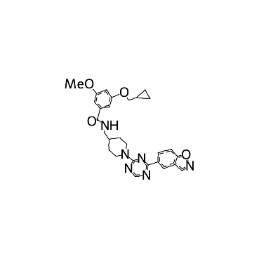 COc1cc(OCC2CC2)cc(C(=O)NCC2CCN(c3ncnc(-c4ccc5oncc5c4)n3)CC2)c1